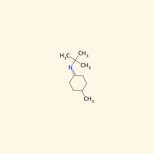 CC1CCC(=NC(C)(C)C)CC1